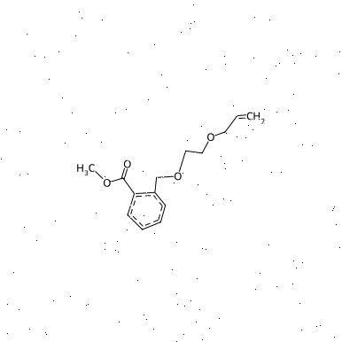 C=CCOCCOCc1ccccc1C(=O)OC